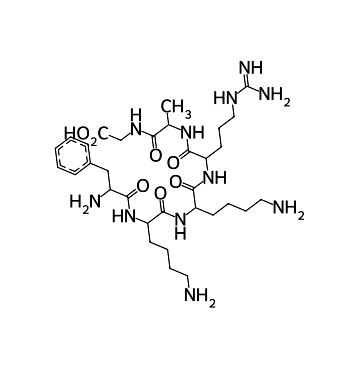 CC(NC(=O)C(CCCNC(=N)N)NC(=O)C(CCCCN)NC(=O)C(CCCCN)NC(=O)C(N)Cc1ccccc1)C(=O)NCC(=O)O